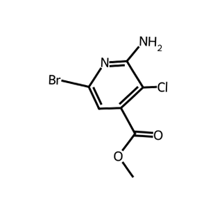 COC(=O)c1cc(Br)nc(N)c1Cl